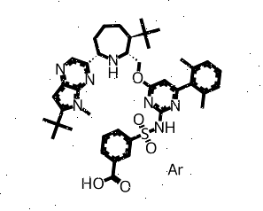 Cc1cccc(C)c1-c1cc(OC[C@@H]2N[C@H](c3cnc4cc(C(C)(C)C)n(C)c4n3)CCC[C@H]2C(C)(C)C)nc(NS(=O)(=O)c2cccc(C(=O)O)c2)n1.[Ar]